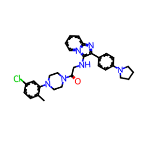 Cc1ccc(Cl)cc1N1CCN(C(=O)CNc2c(-c3ccc(N4CCCC4)cc3)nc3ccccn23)CC1